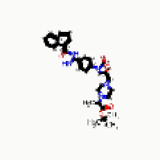 CC(C(=O)OC(C)(C)C)N1CCN(CC2CN(c3ccc(C(=N)NC(=O)c4cccc5ccccc45)cc3)C(=O)O2)CC1